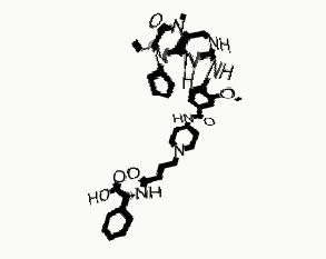 CC[C@@H]1C(=O)N(C)C2=C(NC(Nc3ccc(C(=O)NC4CCN(CCCC(=O)N[C@@H](C(=O)O)C5CCCCC5)CC4)cc3OC)NC2)N1C1CCCC1